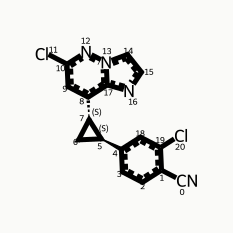 N#Cc1ccc([C@H]2C[C@@H]2c2cc(Cl)nn3ccnc23)cc1Cl